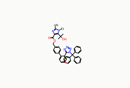 CCCc1nc(C(=O)OCc2ccc(-c3ccccc3-c3nnnn3C(c3ccccc3)(c3ccccc3)c3ccccc3)cc2)c(C(C)(C)O)n1CC